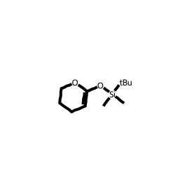 CC(C)(C)[Si](C)(C)OC1=CCCCO1